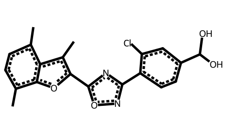 Cc1ccc(C)c2c(C)c(-c3nc(-c4ccc(C(O)O)cc4Cl)no3)oc12